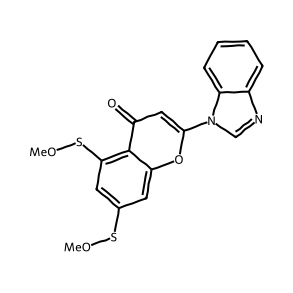 COSc1cc(SOC)c2c(=O)cc(-n3cnc4ccccc43)oc2c1